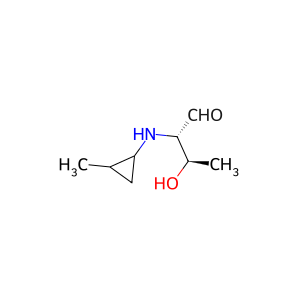 CC1CC1N[C@H](C=O)[C@@H](C)O